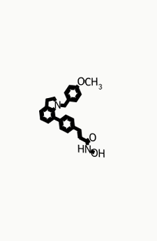 COc1ccc(CN2CCc3cccc(-c4ccc(/C=C/C(=O)NO)cc4)c32)cc1